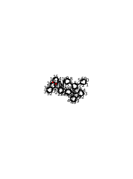 c1ccc(-c2cc(-c3cccc(N(c4ccccc4)c4ccccc4-c4cccc5ccccc45)c3)cc(C3(c4ccccc4)c4ccccc4-c4ccccc43)c2)cc1